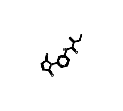 C=C(CC)C(=O)Nc1cccc(N2C(=O)C=CC2=O)c1